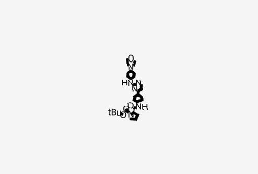 CC(C)(C)OC(=O)N1CCC[C@@H]1C(=O)Nc1ccc(-c2ccnc(Nc3ccc(N4CCOCC4)cc3)n2)cc1